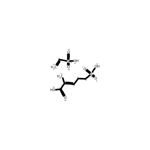 C/C(=C\CCS(=O)(=O)O)C(=O)O.C=CS(=O)(=O)O